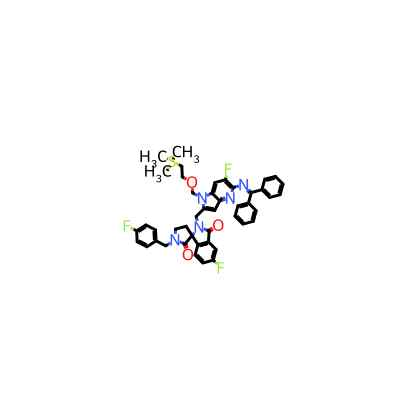 CS(C)(C)CCOCn1c(CN2C(=O)c3cc(F)ccc3C23CCN(Cc2ccc(F)cc2)C3=O)cc2nc(N=C(c3ccccc3)c3ccccc3)c(F)cc21